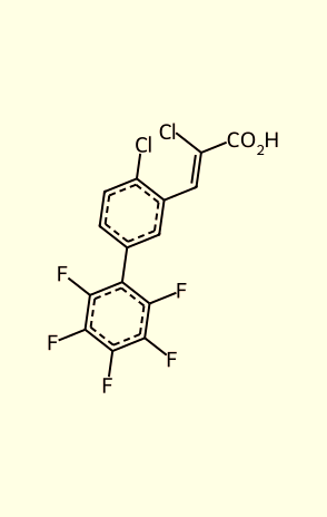 O=C(O)/C(Cl)=C/c1cc(-c2c(F)c(F)c(F)c(F)c2F)ccc1Cl